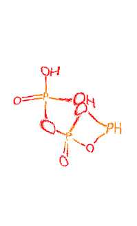 O=P(O)(O)OP1(=O)OPO1